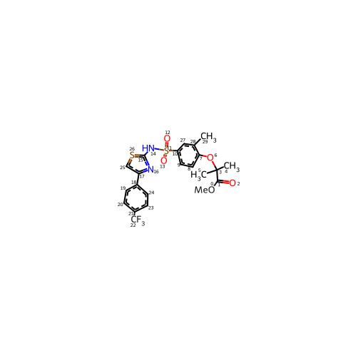 COC(=O)C(C)(C)Oc1ccc(S(=O)(=O)Nc2nc(-c3ccc(C(F)(F)F)cc3)cs2)cc1C